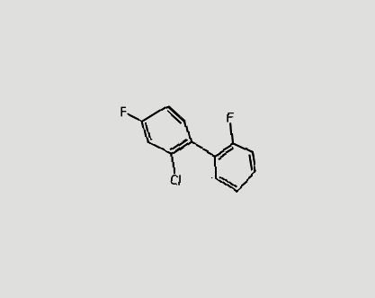 Fc1ccc(-c2[c]cccc2F)c(Cl)c1